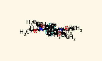 CCCCOCCN(Cc1ccc(F)[c]([Ti]([C]2=CC=CC2)([C]2=CC=CC2)[c]2c(F)ccc(CN(CCOCCCC)C(=O)C(C)(C)CCC)c2F)c1F)C(=O)C(C)(C)CCC